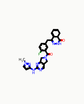 Cn1ccc(Nc2ncc3c(n2)CN(C(=O)c2cc(CC4=NNC(=O)C5CC=CC=C45)ccc2F)C3)n1